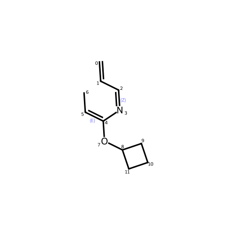 C=C/C=N\C(=C/C)OC1CCC1